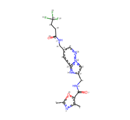 Cc1nc(C)c(C(=O)NCc2cn3ncc(CNC(=O)CCC(F)(F)F)cc3n2)o1